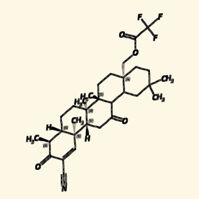 C[C@@H]1C(=O)C(C#N)=C[C@]2(C)[C@H]3CC(=O)C4C5CC(C)(C)CC[C@]5(COC(=O)C(F)(F)F)CC[C@@]4(C)[C@]3(C)CC[C@@H]12